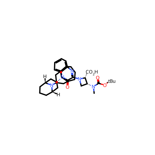 CN(C(=O)OC(C)(C)C)[C@@H]1CN(c2nc3ccccc3n([C@H]3C[C@H]4CCC[C@@H](C3)N4C3CC4CCCCC(C4)C3)c2=O)[C@@H]1C(=O)O